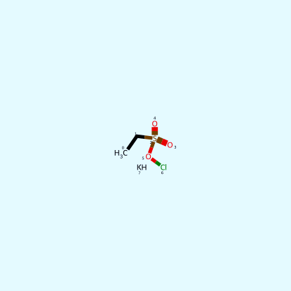 CCS(=O)(=O)OCl.[KH]